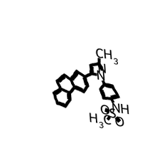 Cc1cc(-c2ccc3c(ccc4ccccc43)c2)n(-c2ccc(NS(C)(=O)=O)cc2)n1